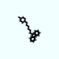 CN1CCN(CCCCCCn2c3ccccc3c3ccccc32)CC1